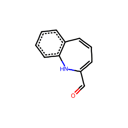 O=CC1=CC=Cc2ccccc2N1